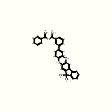 CC1(C)c2ccccc2-c2cc3c(cc21)Oc1ccc(-c2cccc(C(=N)OC(=N)c4ccccc4)c2)cc1O3